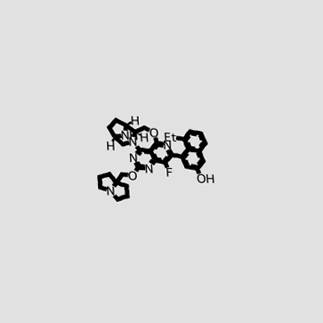 CCc1cccc2cc(O)cc(-c3nc4c5c(nc(OCC67CCCN6CCC7)nc5c3F)N3C[C@@H]5CC[C@@H](N5)[C@H]3CO4)c12